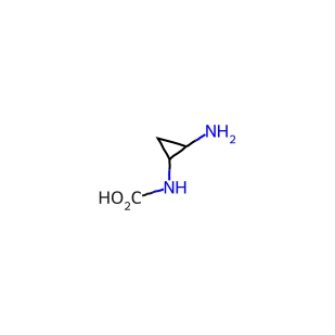 NC1CC1NC(=O)O